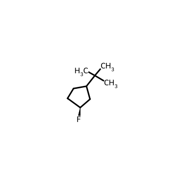 CC(C)(C)C1CC[C@H](F)C1